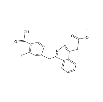 COC(=O)Cc1cnc(Cc2ccc(C(=O)O)c(F)c2)c2ccccc12